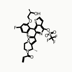 C=CC(=O)N1CCn2nc(-c3nc(OS(=O)(=O)C(F)(F)F)c4ccsc4c3-c3c(F)cc(F)cc3OC[C@@H](C)O)cc2[C@@H]1C